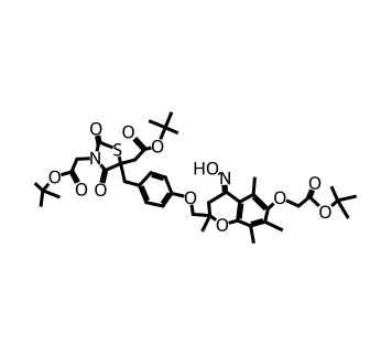 Cc1c(C)c2c(c(C)c1OCC(=O)OC(C)(C)C)/C(=N/O)CC(C)(COc1ccc(CC3(CC(=O)OC(C)(C)C)SC(=O)N(CC(=O)OC(C)(C)C)C3=O)cc1)O2